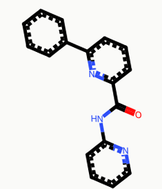 O=C(Nc1ccccn1)c1cccc(-c2ccccc2)n1